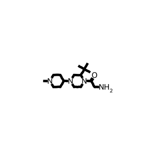 CN1CCC(N2CCN(C(=O)CN)C(C(C)(C)C)C2)CC1